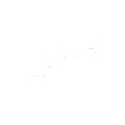 CCC(=O)C(=O)CC(=O)CCC(C)=O